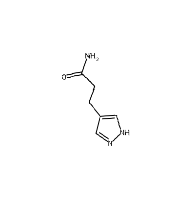 NC(=O)CCc1cn[nH]c1